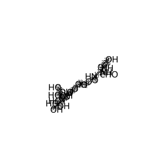 CC(C)(COCCC(=O)NCCCC[C@H](NC=O)C(=O)Nc1ccc(CO)cc1)OCC(C)(C)OCCOCCOCCOCCN(CC(O)C(O)C(O)CCO)CC(O)C(O)C(O)CCO